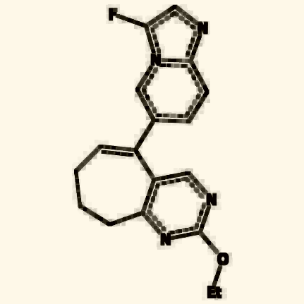 CCOc1ncc2c(n1)CCCC=C2c1ccc2ncc(F)n2c1